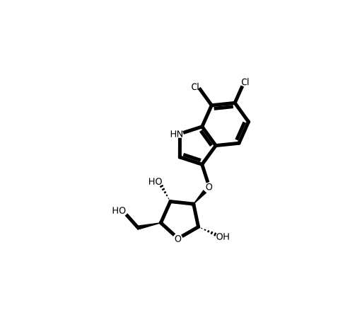 OC[C@@H]1O[C@@H](O)[C@H](Oc2c[nH]c3c(Cl)c(Cl)ccc23)[C@H]1O